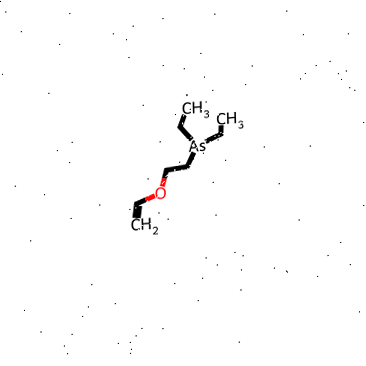 C=COCC[As](CC)CC